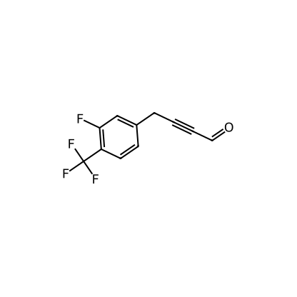 O=CC#CCc1ccc(C(F)(F)F)c(F)c1